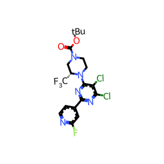 CC(C)(C)OC(=O)N1CCN(c2nc(-c3ccnc(F)c3)nc(Cl)c2Cl)[C@H](C(F)(F)F)C1